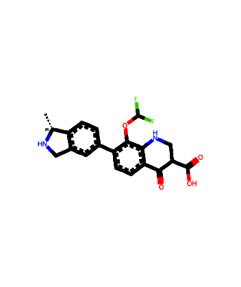 C[C@H]1NCc2cc(-c3ccc4c(c3OC(F)F)NCC(C(=O)O)C4=O)ccc21